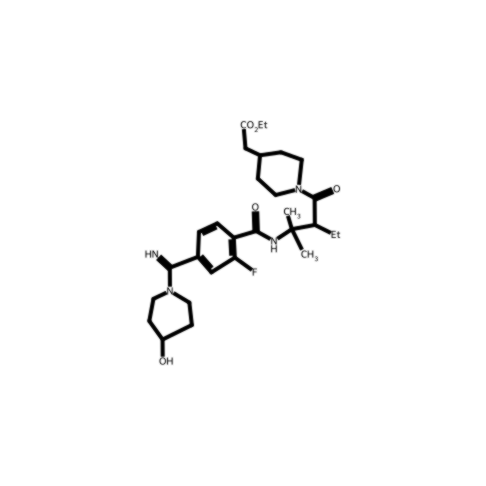 CCOC(=O)CC1CCN(C(=O)C(CC)C(C)(C)NC(=O)c2ccc(C(=N)N3CCC(O)CC3)cc2F)CC1